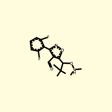 C[SiH](C)OC(c1onc(-c2c(F)cccc2F)c1C=O)C(C)(C)C